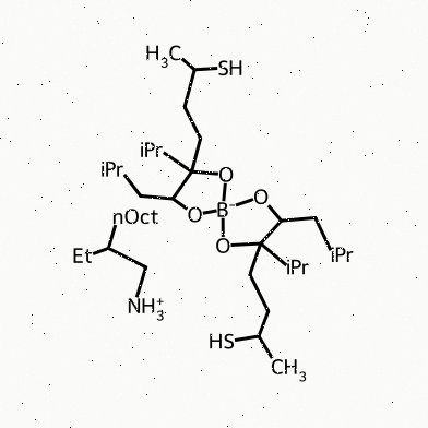 CC(C)CC1O[B-]2(OC(CC(C)C)C(CCC(C)S)(C(C)C)O2)OC1(CCC(C)S)C(C)C.CCCCCCCCC(CC)C[NH3+]